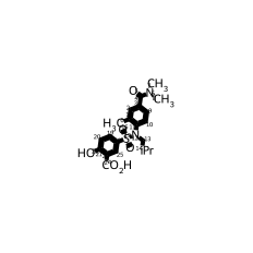 Cc1cc(C(=O)N(C)C)ccc1N(CC(C)C)S(=O)(=O)c1ccc(O)c(C(=O)O)c1